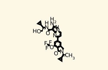 C[C@@H](C1CC1)N1Cc2cc(-c3ccn4nc(N)c(C(=O)N[C@@H](CO)C5CC5)c4n3)cc(OC(F)(F)F)c2C1=O